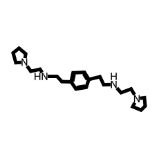 c1cc(CCNCCN2CCCC2)ccc1CCNCCN1CCCC1